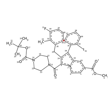 COC(=O)c1ccn2c(C(=O)N3CCN(C(=O)OC(C)(C)C)CC3)c(Cc3cccc(F)c3C)c(-c3ccccc3I)c2c1